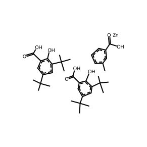 CC(C)(C)c1cc(C(=O)O)c(O)c(C(C)(C)C)c1.CC(C)(C)c1cc(C(=O)O)c(O)c(C(C)(C)C)c1.Cc1cccc(C(=O)O)c1.[Zn]